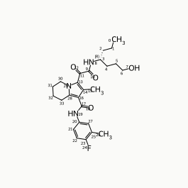 CCC[C@H](CCCO)NC(=O)C(=O)c1c(C)c(C(=O)Nc2ccc(F)c(C)c2)c2n1CCCC2